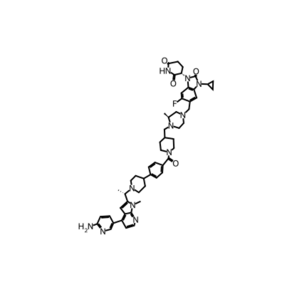 C[C@H]1CN(Cc2cc3c(cc2F)n([C@H]2CCC(=O)NC2=O)c(=O)n3C2CC2)CCN1CC1CCN(C(=O)c2ccc(C3CCN([C@@H](C)c4cc5c(-c6ccc(N)nc6)ccnc5n4C)CC3)cc2)CC1